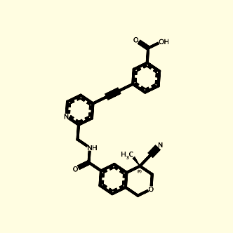 C[C@@]1(C#N)COCc2ccc(C(=O)NCc3cc(C#Cc4cccc(C(=O)O)c4)ccn3)cc21